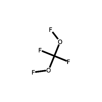 FOC(F)(F)OF